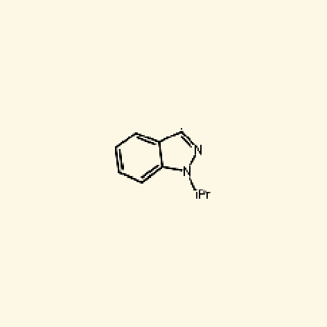 CC(C)n1n[c]c2ccccc21